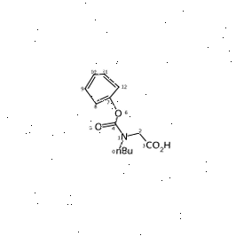 CCCCN(CC(=O)O)C(=O)Oc1ccccc1